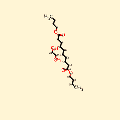 CCCCOC(=O)CCCCCCCCC(=O)OCCCC.OCCO